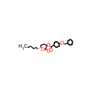 CCCCCC[C@@H]1CC[C@@H](OC(=O)c2ccc(OCc3ccccc3)cc2)C(=O)O1